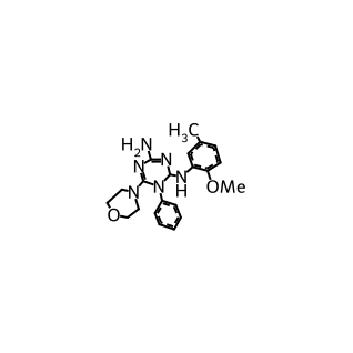 COc1ccc(C)cc1NC1N=C(N)N=C(N2CCOCC2)N1c1ccccc1